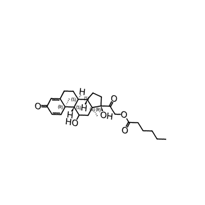 CCCCCC(=O)OCC(=O)[C@@]1(O)CC[C@H]2[C@@H]3CCC4=CC(=O)C=C[C@]4(C)[C@H]3C(O)C[C@@]21C